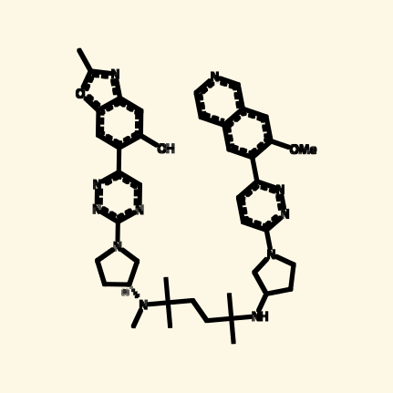 COc1cc2cnccc2cc1-c1ccc(N2CCC(NC(C)(C)CCC(C)(C)N(C)[C@@H]3CCN(c4ncc(-c5cc6oc(C)nc6cc5O)nn4)C3)C2)nn1